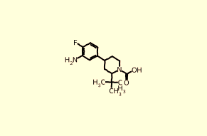 CC(C)(C)C1CC(c2ccc(F)c(N)c2)CCN1C(=O)O